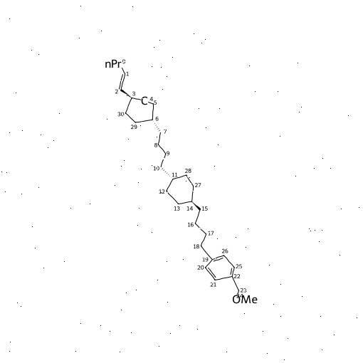 CCCC=C[C@H]1CC[C@H](CCCC[C@H]2CC[C@H](CCCCc3ccc(COC)cc3)CC2)CC1